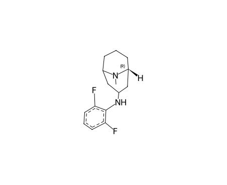 CN1C2CCC[C@@H]1CC(Nc1c(F)cccc1F)C2